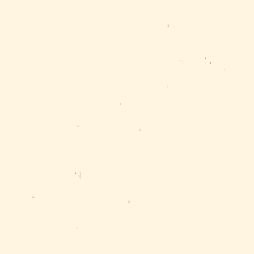 Cc1cc(CCC(N)=O)ccc1N1CCOCC1=O